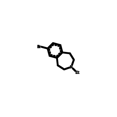 CCN1CCc2ccc(Br)cc2CC1